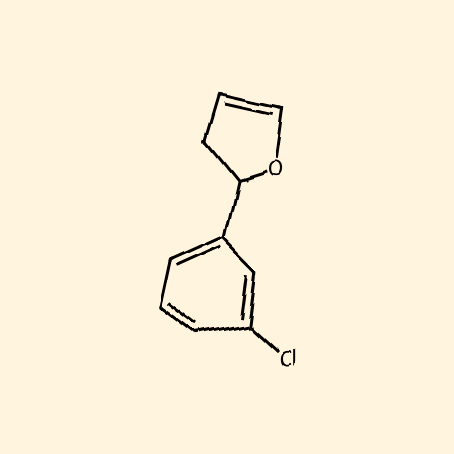 Clc1cccc([C]2CC=CO2)c1